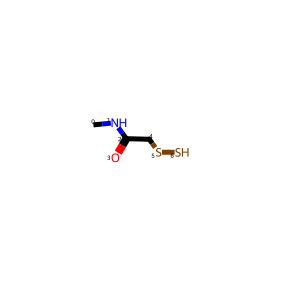 CNC(=O)CSS